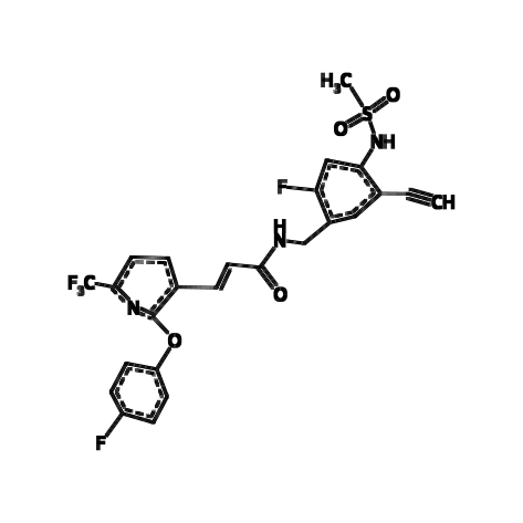 C#Cc1cc(CNC(=O)C=Cc2ccc(C(F)(F)F)nc2Oc2ccc(F)cc2)c(F)cc1NS(C)(=O)=O